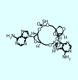 Nc1ncnc2c1ncn2[C@@H]1O[C@@]23CO[C@@H]1[C@@H]2O[P@](=O)(S)OC[C@@H]1C[C@@H](O[P@](=O)(S)OC3)[C@H](n2cnc3c(N)ncnc32)O1